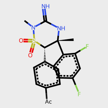 CC(=O)c1ccc([C@H]2[C@@](C)(c3ccc(F)cc3F)NC(=N)N(C)S2(=O)=O)cc1